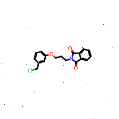 O=C1c2ccccc2C(=O)N1CCCOc1cccc(CCl)c1